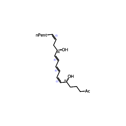 CCCCC/C=C\C[C@@H](O)/C=C/C=C/C=C\[C@@H](O)CCCC(C)=O